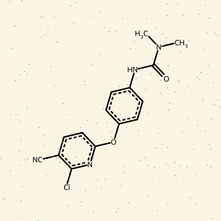 CN(C)C(=O)Nc1ccc(Oc2ccc(C#N)c(Cl)n2)cc1